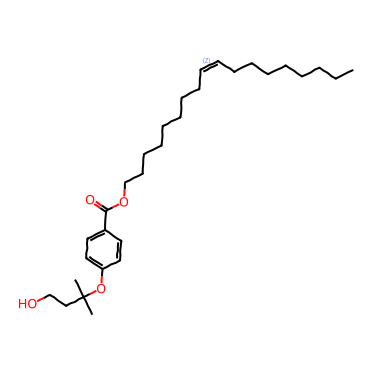 CCCCCCCC/C=C\CCCCCCCCOC(=O)c1ccc(OC(C)(C)CCO)cc1